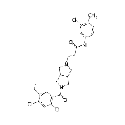 Cc1ccc(NC(=O)CCN2CC3CN(C(=O)c4cc(CF)c(Cl)cc4Cl)CC3C2)cc1Cl